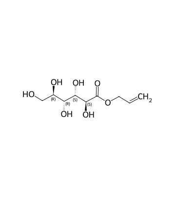 C=CCOC(=O)[C@@H](O)[C@@H](O)[C@H](O)[C@H](O)CO